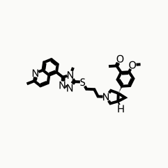 COc1ccc([C@]23C[C@@H]2CN(CCCSc2nnc(-c4cccc5nc(C)ccc45)n2C)C3)cc1C(C)=O